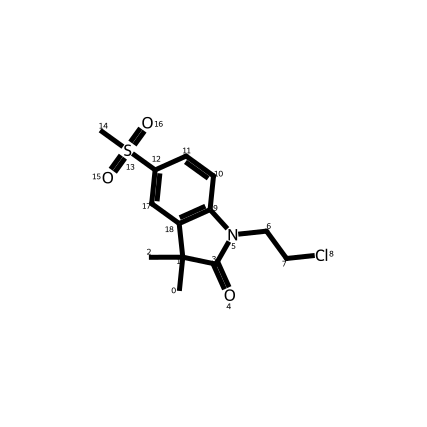 CC1(C)C(=O)N(CCCl)c2ccc(S(C)(=O)=O)cc21